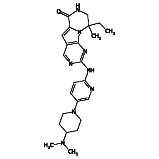 CCC1(C)CNC(=O)c2cc3cnc(Nc4ccc(N5CCC(N(C)C)CC5)cn4)nc3n21